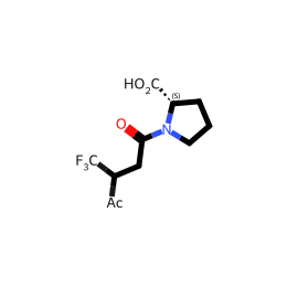 CC(=O)C(CC(=O)N1CCC[C@H]1C(=O)O)C(F)(F)F